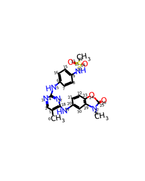 Cc1cnc(Nc2ccc(NS(C)(=O)=O)cc2)nc1Nc1ccc2oc(=O)n(C)c2c1